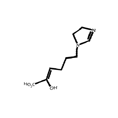 O=C(O)C(O)=CCCCN1C=NCC1